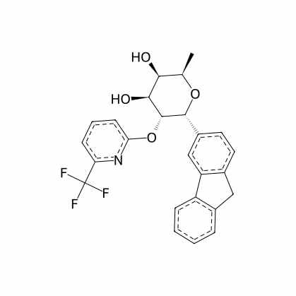 C[C@H]1O[C@H](c2ccc3c(c2)-c2ccccc2C3)[C@H](Oc2cccc(C(F)(F)F)n2)[C@@H](O)[C@H]1O